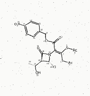 CC(=O)SC(SC(C)=O)=C(C(=O)OCc1ccc([N+](=O)[O-])cc1)N1C(=O)[C@H]([C@@H](C)O)[C@H]1Cl